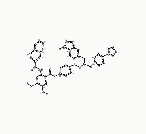 COc1cc(NC(=O)c2cnc3ccccc3c2)c(C(=O)Nc2ccc(CCN(Cc3ccc(-n4ccnc4)cc3)Cc3ccc4c(cnn4C)c3)cc2)cc1OC